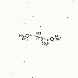 Cl.N=C(N)c1ccc(OCCCNCCN(CCCOc2ccc(C(=N)N)cc2)CCC(=O)O)cc1